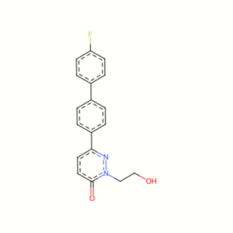 O=c1ccc(-c2ccc(-c3ccc(F)cc3)cc2)nn1CCO